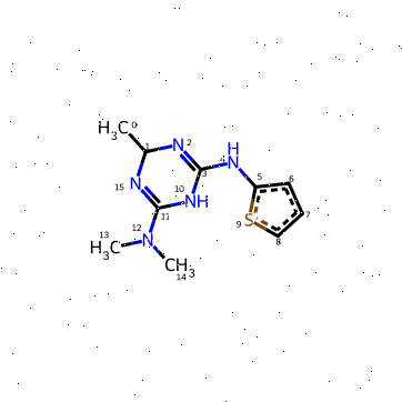 CC1N=C(Nc2cccs2)NC(N(C)C)=N1